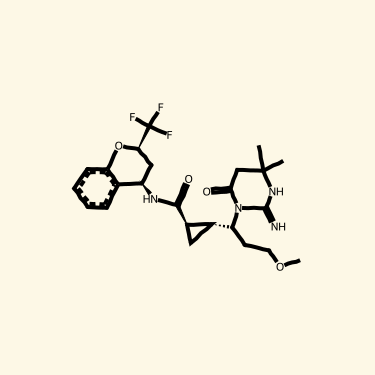 COCCC([C@@H]1C[C@H]1C(=O)N[C@@H]1C[C@H](C(F)(F)F)Oc2ccccc21)N1C(=N)NC(C)(C)CC1=O